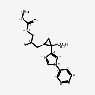 CC(CNC(=O)OC(C)(C)C)C[C@H]1C[C@]1(C(=O)O)c1cn(-c2ccccc2)cn1